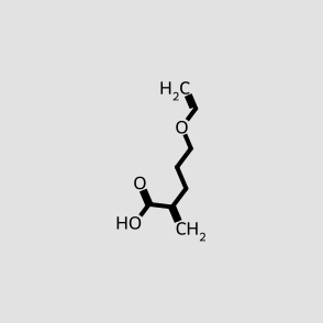 C=COCCCC(=C)C(=O)O